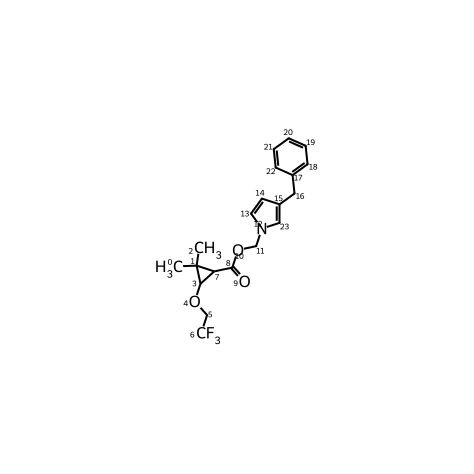 CC1(C)C(OCC(F)(F)F)C1C(=O)OCn1ccc(Cc2ccccc2)c1